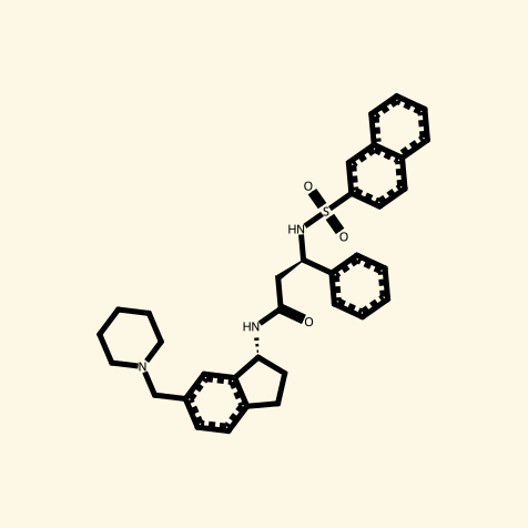 O=C(C[C@@H](NS(=O)(=O)c1ccc2ccccc2c1)c1ccccc1)N[C@@H]1CCc2ccc(CN3CCCCC3)cc21